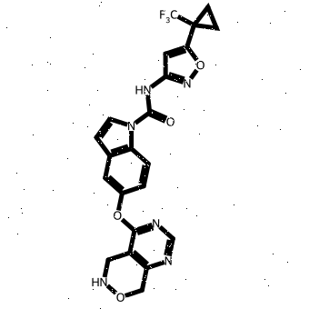 O=C(Nc1cc(C2(C(F)(F)F)CC2)on1)n1ccc2cc(Oc3ncnc4c3CNOC4)ccc21